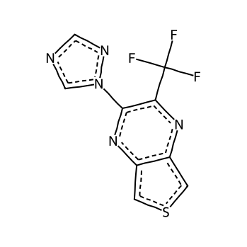 FC(F)(F)c1nc2cscc2nc1-n1cncn1